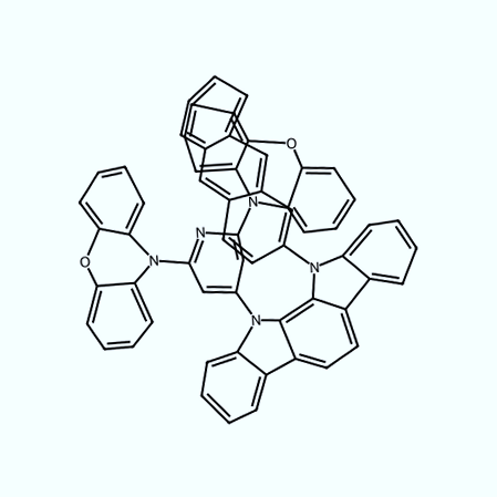 c1ccc2c(c1)Oc1ccccc1N2c1cc(-n2c3ccccc3c3ccc4c5ccccc5n(-c5ccc6cc7ccccc7cc6c5)c4c32)cc(N2c3ccccc3Oc3ccccc32)n1